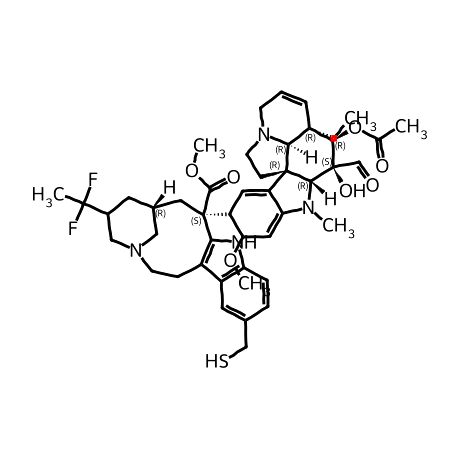 CC[C@]12C=CCN3CC[C@@]4(C5=CC([C@@]6(C(=O)OC)C[C@H]7CC(C(C)(F)F)CN(CCc8c6[nH]c6ccc(CS)cc86)C7)C(OC)C=C5N(C)[C@H]4[C@@](O)(C=O)[C@@H]1OC(C)=O)[C@@H]32